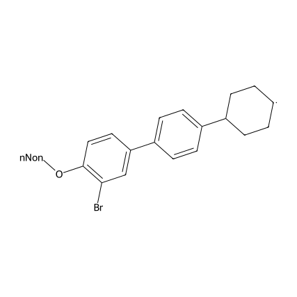 CCCCCCCCCOc1ccc(-c2ccc(C3CC[CH]CC3)cc2)cc1Br